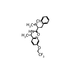 C[C@@H](NC(=O)[C@H](Cc1ccccc1)N(C)C)c1ccc(OCC(F)(F)F)cn1